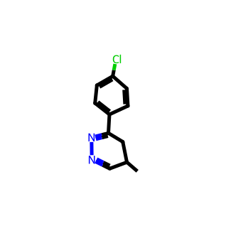 CC1C=NN=C(c2ccc(Cl)cc2)C1